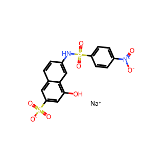 O=[N+]([O-])c1ccc(S(=O)(=O)Nc2ccc3cc(S(=O)(=O)[O-])cc(O)c3c2)cc1.[Na+]